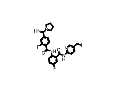 N=C(c1ccc(C(=O)Nc2ccc(F)cc2C(=O)Nc2ccc(CI)cn2)c(F)c1)N1CCCC1